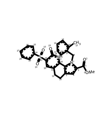 COC(=O)c1cc2c(n1Cc1ccccc1C)-c1[nH]c(=O)c(S(=O)(=O)c3ccccc3)cc1CC2